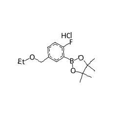 CCOCc1ccc(F)c(B2OC(C)(C)C(C)(C)O2)c1.Cl